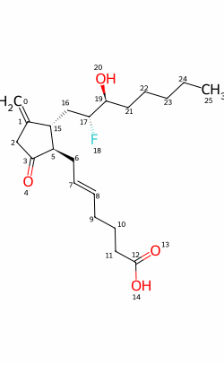 C=C1CC(=O)[C@H](CC=CCCCC(=O)O)[C@H]1C[C@@H](F)[C@@H](O)CCCCC